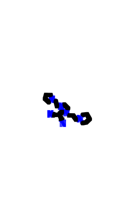 N#CC(C#N)=C1N(CCCN2CCCCC2)CCN1CCN1CCCC1